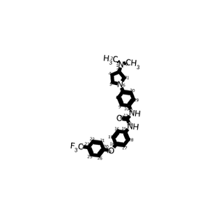 CN(C)C1CCN(c2ccc(NC(=O)Nc3ccc(Oc4ccc(C(F)(F)F)cc4)cc3)cc2)C1